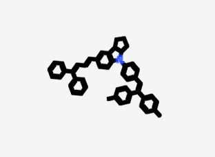 Cc1ccc(C(=Cc2ccc(N3c4ccc(/C=C/C=C(c5ccccc5)c5ccccc5)cc4C4CCCC43)cc2)c2ccc(C)cc2)cc1